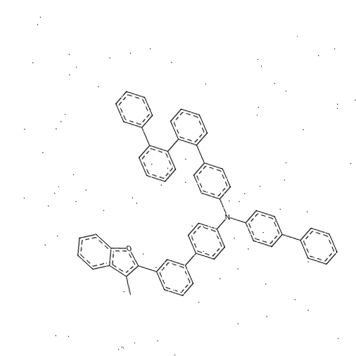 Cc1c(-c2cccc(-c3ccc(N(c4ccc(-c5ccccc5)cc4)c4ccc(-c5ccccc5-c5ccccc5-c5ccccc5)cc4)cc3)c2)oc2ccccc12